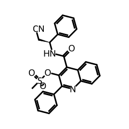 CS(=O)(=O)Oc1c(-c2ccccc2)nc2ccccc2c1C(=O)N[C@@H](CC#N)c1ccccc1